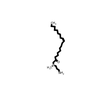 CCCCCCCC/C=C\CCCCCCCC(=O)CN(C)CCCN